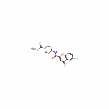 CC(C)(C)OC(=O)N1CCC(NC(=O)c2cc(=O)c3cc(Cl)ccc3o2)CC1